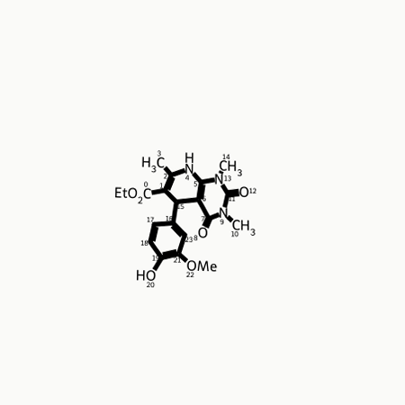 CCOC(=O)C1=C(C)Nc2c(c(=O)n(C)c(=O)n2C)C1c1ccc(O)c(OC)c1